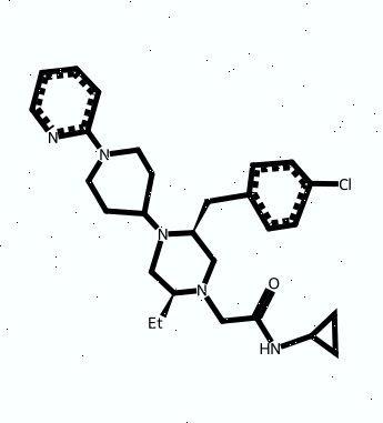 CC[C@H]1CN(C2CCN(c3ccccn3)CC2)[C@@H](Cc2ccc(Cl)cc2)CN1CC(=O)NC1CC1